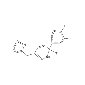 Cc1cc(C2(F)C=CC(Cn3cccn3)=CN2)ccc1F